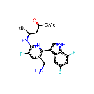 COC(=O)CC(Nc1nc(-c2c[nH]c3c(F)cc(F)cc23)c(CN)cc1F)C(C)(C)C